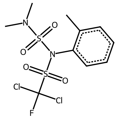 Cc1ccccc1N(S(=O)(=O)N(C)C)S(=O)(=O)C(F)(Cl)Cl